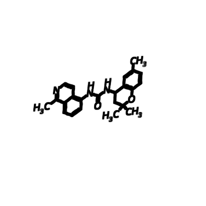 Cc1ccc2c(c1)C(NC(=O)Nc1cccc3c(C)nccc13)CC(C)(C)O2